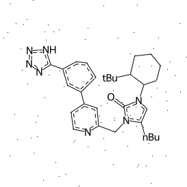 CCCCc1cn(C2CCCCC2C(C)(C)C)c(=O)n1Cc1cc(-c2cccc(-c3nnn[nH]3)c2)ccn1